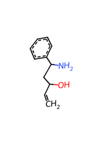 C=CC(O)CC(N)c1ccccc1